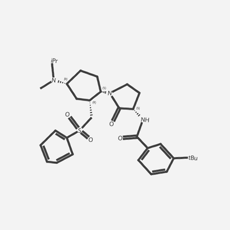 CC(C)N(C)[C@@H]1CC[C@H](N2CC[C@H](NC(=O)c3cccc(C(C)(C)C)c3)C2=O)[C@H](CS(=O)(=O)c2ccccc2)C1